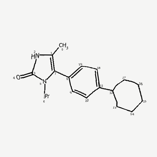 Cc1[nH]c(=O)n(C(C)C)c1-c1ccc(C2CCCCC2)cc1